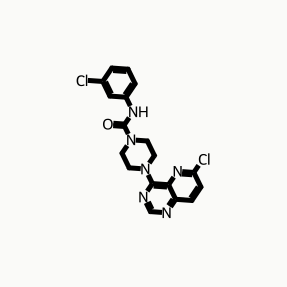 O=C(Nc1cccc(Cl)c1)N1CCN(c2ncnc3ccc(Cl)nc23)CC1